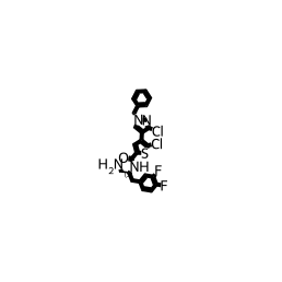 NC[C@H](Cc1ccc(F)c(F)c1)NC(=O)c1cc(-c2cn(Cc3ccccc3)nc2Cl)c(Cl)s1